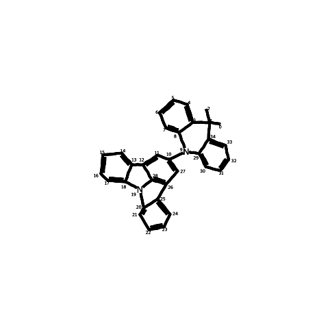 CC1(C)c2ccccc2N(c2cc3c4ccccc4n4c5ccccc5c(c2)c34)c2ccccc21